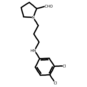 O=CC1CCCN1CCCNc1ccc(Cl)c(Cl)c1